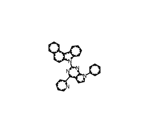 c1ccc(-n2ccc3c(-c4ccccn4)nc(-n4c5ccccc5c5c6ccccc6ccc54)nc32)cc1